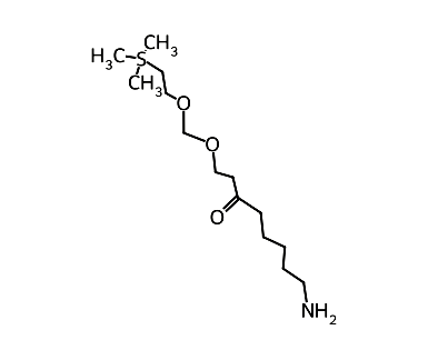 CS(C)(C)CCOCOCCC(=O)CCCCCN